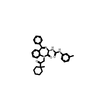 Cc1cccc(NC(=O)N[C@@H]2N=C(c3ccccc3)c3ccccc3N(CC(=O)C3(C)CCCCC3)C2=O)c1